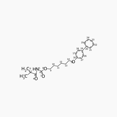 C=C(C)C(=O)NC(=O)OCCCCCCOc1ccc(-c2ccccc2)cc1